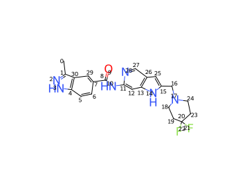 Cc1n[nH]c2ccc(C(=O)Nc3cc4[nH]c(CN5CCC(F)(F)CC5)cc4cn3)cc12